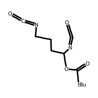 CC(C)(C)C(=O)OC(CCCN=C=O)N=C=O